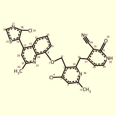 Cc1cc(Cl)c(COc2cccc3c(-c4scnc4Cl)cc(C)nc23)c(Cc2cc[nH]c(=O)c2C#N)n1